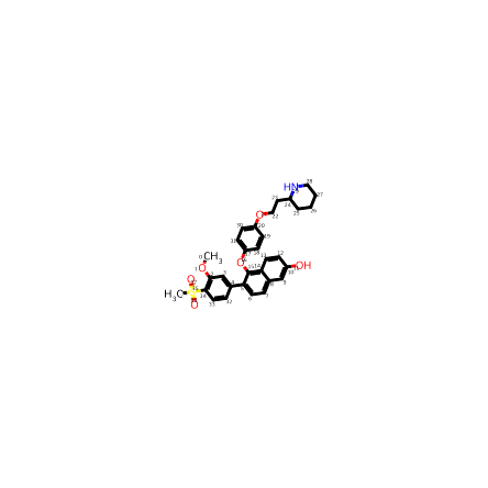 COc1cc(-c2ccc3cc(O)ccc3c2Oc2ccc(OCCC3CCCCN3)cc2)ccc1S(C)(=O)=O